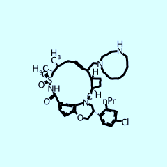 CCCc1cc(Cl)ccc1[C@@H]1COc2ccc3cc2N(C1)C[C@@H]1CC[C@H]1C(CN1CCCCCCNCC1)/C=C/C[C@H](C)[C@@H](C)S(=O)(=O)NC3=O